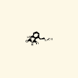 O=c1[nH]c(=O)c2c(CCOO)cccc2[nH]1